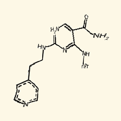 C=C(/N=C(NCCC)\C(=C/N)C(N)=O)NCCc1ccncc1